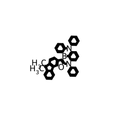 CC1(C)c2ccccc2-c2c1ccc1c3c(oc21)N(c1ccccc1)c1cccc2c1B3c1ccccc1N2c1ccccc1